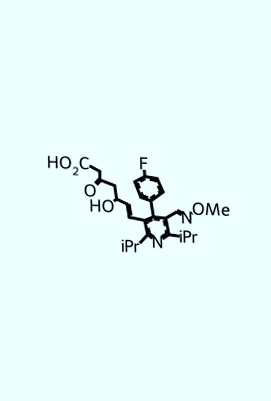 CON=Cc1c(C(C)C)nc(C(C)C)c(C=CC(O)CC(=O)CC(=O)O)c1-c1ccc(F)cc1